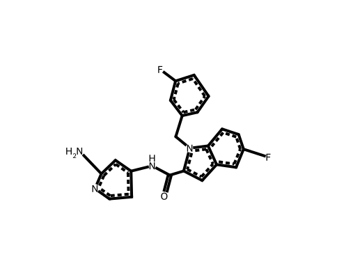 Nc1cc(NC(=O)c2cc3cc(F)ccc3n2Cc2cccc(F)c2)ccn1